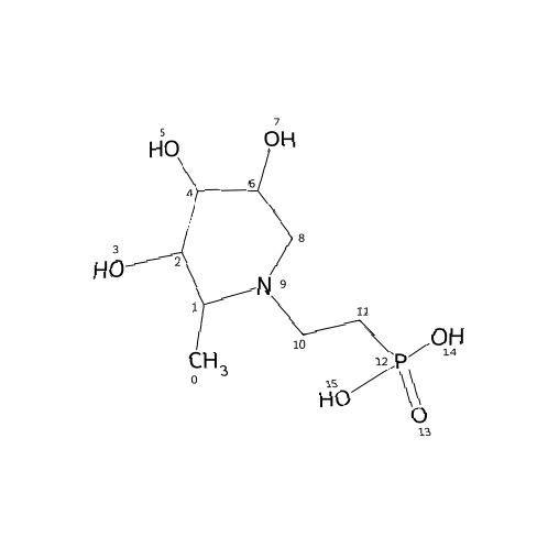 CC1C(O)C(O)C(O)CN1CCP(=O)(O)O